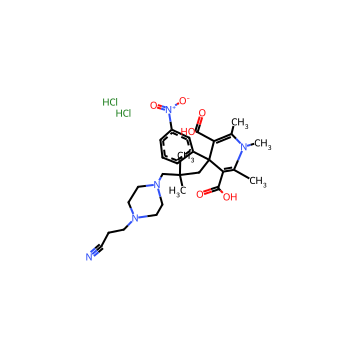 CC1=C(C(=O)O)C(CC(C)(C)CN2CCN(CCC#N)CC2)(c2cccc([N+](=O)[O-])c2)C(C(=O)O)=C(C)N1C.Cl.Cl